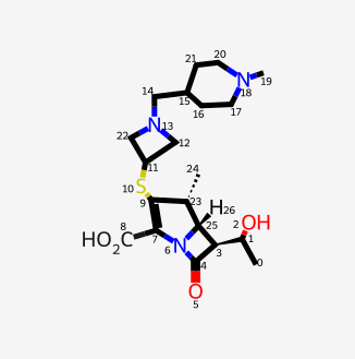 CC(O)[C@H]1C(=O)N2C(C(=O)O)=C(SC3CN(CC4CCN(C)CC4)C3)[C@H](C)[C@H]12